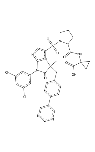 CC1(Cc2ccc(-c3cncnc3)cc2)C(=O)N(c2cc(Cl)cc(Cl)c2)c2ncc(S(=O)(=O)N3CCCC3C(=O)NC3(C(=O)O)CC3)n21